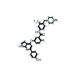 Cc1ccc(Oc2cc(-c3ccc(O)cc3)nc3[nH]ccc23)cc1C(=O)Nc1ccc(CN2CCN(C)CC2)c(C(F)(F)F)c1